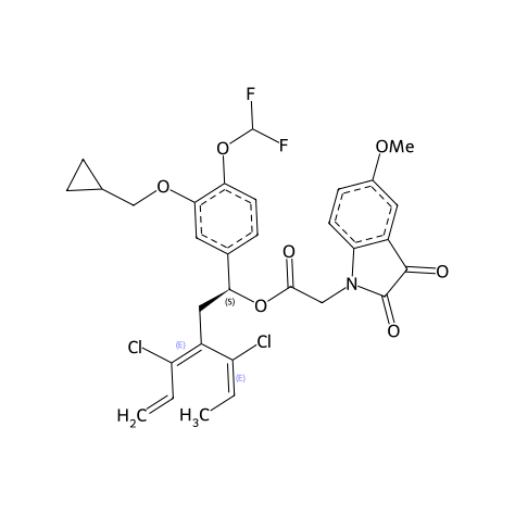 C=C/C(Cl)=C(C[C@H](OC(=O)CN1C(=O)C(=O)c2cc(OC)ccc21)c1ccc(OC(F)F)c(OCC2CC2)c1)\C(Cl)=C/C